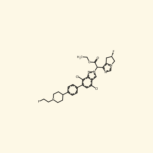 CCOC(=O)C(c1ncn2c1C[C@@H](F)C2)n1cc2c(Cl)cc(-c3ccc(C4CCN(CCF)CC4)cc3)c(Cl)c2n1